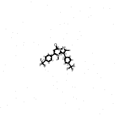 Cc1nn2c(=O)cc(-c3ccc(C(F)(F)F)cc3)n(C)c2c1-c1ccc(C(F)(F)F)cc1